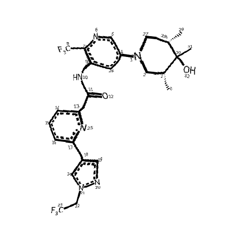 C[C@@H]1CN(c2cnc(C(F)(F)F)c(NC(=O)c3cccc(-c4cnn(CC(F)(F)F)c4)n3)c2)C[C@H](C)C1(C)O